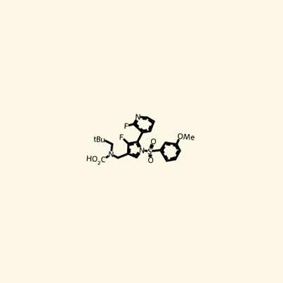 COc1cccc(S(=O)(=O)n2cc(CN(CC(C)(C)C)C(=O)O)c(F)c2-c2cccnc2F)c1